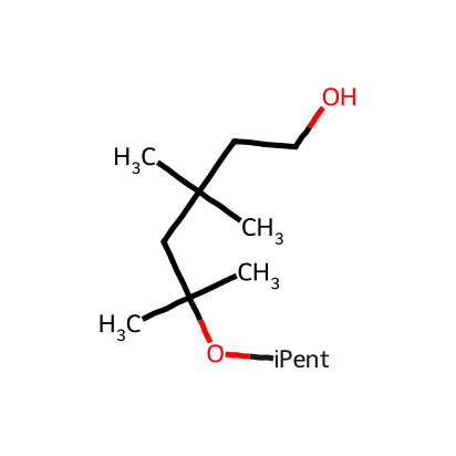 CCCC(C)OC(C)(C)CC(C)(C)CCO